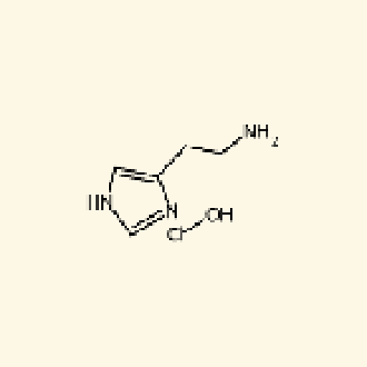 NCCc1c[nH]cn1.OCl